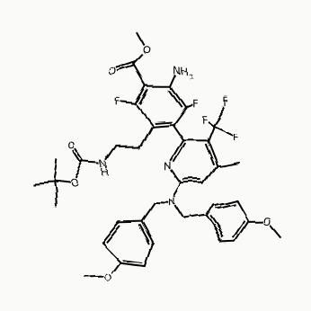 COC(=O)c1c(N)c(F)c(-c2nc(N(Cc3ccc(OC)cc3)Cc3ccc(OC)cc3)cc(C)c2C(F)(F)F)c(CCNC(=O)OC(C)(C)C)c1F